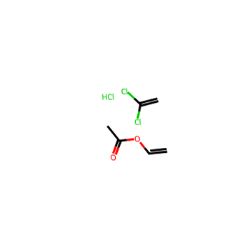 C=C(Cl)Cl.C=COC(C)=O.Cl